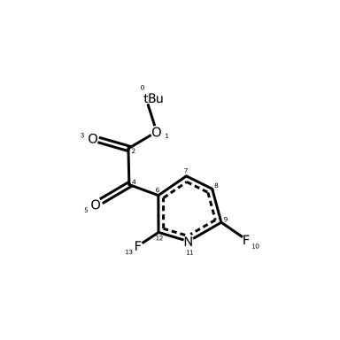 CC(C)(C)OC(=O)C(=O)c1ccc(F)nc1F